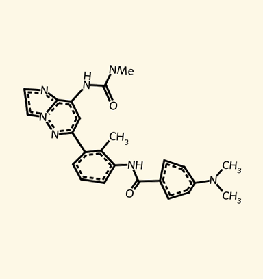 CNC(=O)Nc1cc(-c2cccc(NC(=O)c3ccc(N(C)C)cc3)c2C)nn2ccnc12